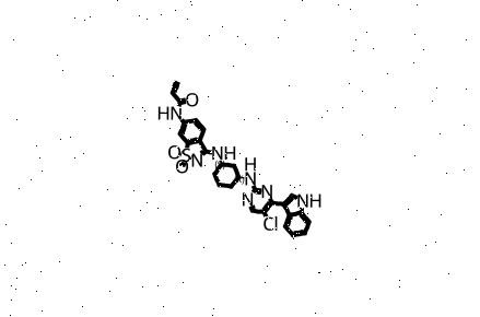 C=CC(=O)Nc1ccc2c(c1)S(=O)(=O)N=C2N[C@H]1CCC[C@@H](Nc2ncc(Cl)c(-c3c[nH]c4ccccc34)n2)C1